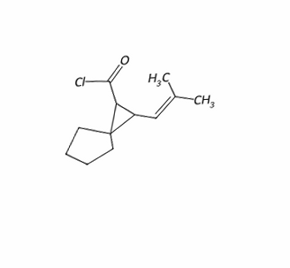 CC(C)=CC1C(C(=O)Cl)C12CCCC2